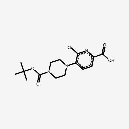 CC(C)(C)OC(=O)N1CCN(c2ccc(C(=O)O)nc2Cl)CC1